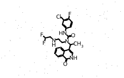 CC(c1c[nH]c(=O)c2ccccc12)N(CCNCC(F)F)C(=O)Nc1ccc(F)c(Cl)c1